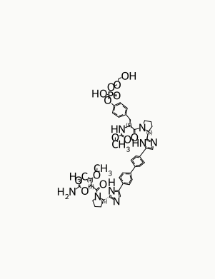 COC(=O)N[C@@H](Cc1ccc(OP(=O)(O)OOCO)cc1)C(=O)N1CCC[C@H]1c1ncc(-c2ccc(-c3ccc(-c4cnc([C@@H]5CCCN5C(=O)[C@@H](OC(N)=O)[C@@H](C)OC)[nH]4)cc3)cc2)[nH]1